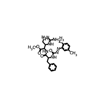 CCC(NC(N)N)C(NC(=O)C(Cc1ccccc1)NC(=O)/N=N/c1cc(C)ccc1C)C(=O)OC